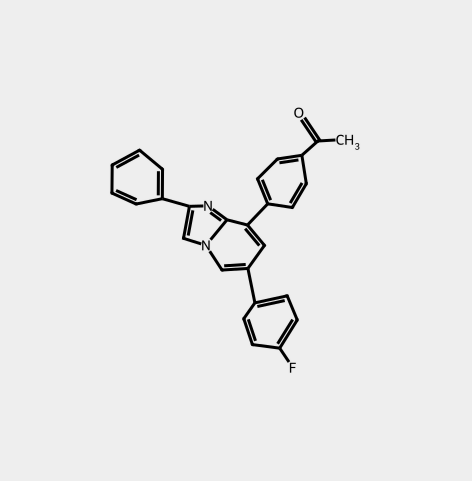 CC(=O)c1ccc(-c2cc(-c3ccc(F)cc3)cn3cc(-c4ccccc4)nc23)cc1